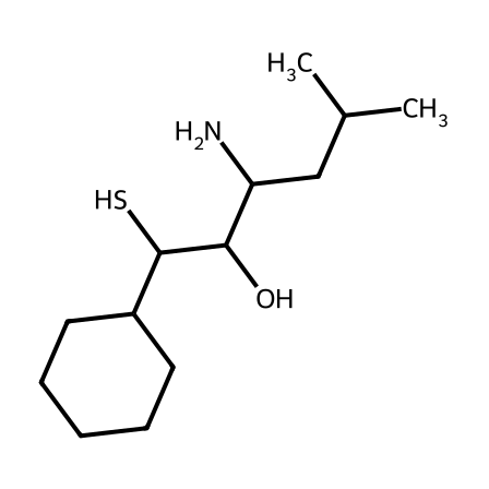 CC(C)CC(N)C(O)C(S)C1CCCCC1